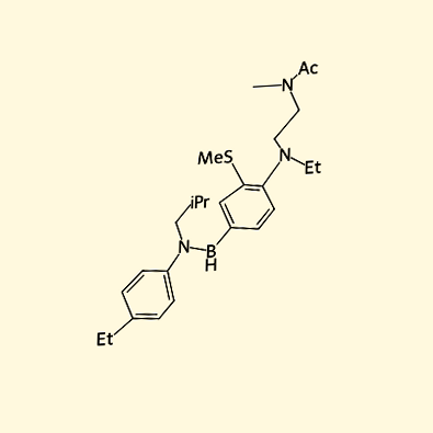 CCc1ccc(N(Bc2ccc(N(CC)CCN(C)C(C)=O)c(SC)c2)CC(C)C)cc1